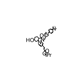 CC(C)OC(=O)/C=C/c1ccnc(N(CC2CCN(c3ccc(N(C)C)cc3)C2)C(=O)C2CCC(O)CC2)c1